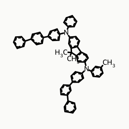 Cc1cccc(N(c2ccc(-c3cccc(-c4ccccc4)c3)cc2)c2ccc3c(c2)C(C)(C)c2cc(N(c4ccccc4)c4ccc(-c5ccc(-c6ccccc6)cc5)cc4)ccc2-3)c1